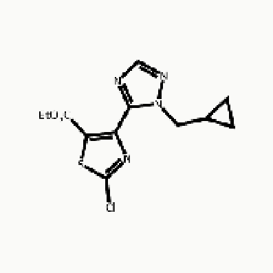 CCOC(=O)c1sc(Cl)nc1-c1ncnn1CC1CC1